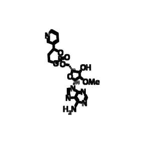 COC1C(O)[C@@H](COP2(=O)OCCC(c3cccnc3)O2)O[C@H]1n1cnc2c(N)ncnc21